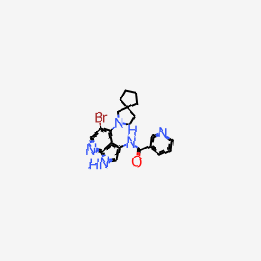 O=C(Nc1c[nH]c2ncc(Br)c(N3CCC4(CCCC4)C3)c12)c1cccnc1